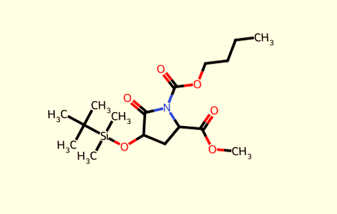 CCCCOC(=O)N1C(=O)C(O[Si](C)(C)C(C)(C)C)CC1C(=O)OC